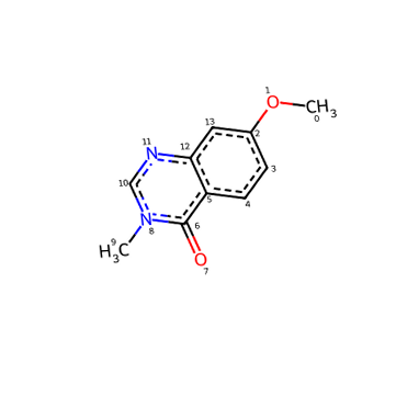 COc1ccc2c(=O)n(C)cnc2c1